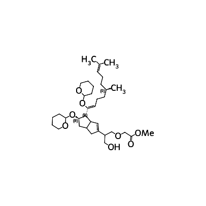 COC(=O)COCC(CO)C1=CC2C(C1)C[C@@H](OC1CCCCO1)[C@@H]2C(=CCC[C@H](C)CCC=C(C)C)OC1CCCCO1